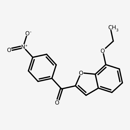 CCOc1cccc2cc(C(=O)c3ccc([N+](=O)[O-])cc3)oc12